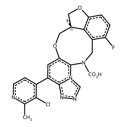 Cc1nccc(-c2cc3c(n4cnnc24)N(C(=O)O)Cc2c(F)ccc4c2[C@@H](CO4)CO3)c1Cl